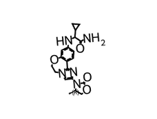 C[C@@H]1COC(=O)N1c1cn2c(n1)-c1ccc(NC(C(N)=O)C3CC3)cc1OCC2